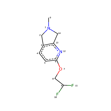 CN1Cc2ccc(OCC(F)F)nc2C1